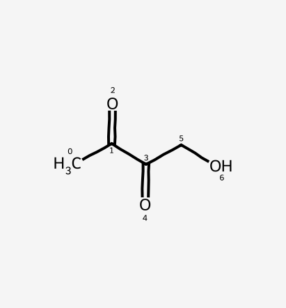 CC(=O)C(=O)CO